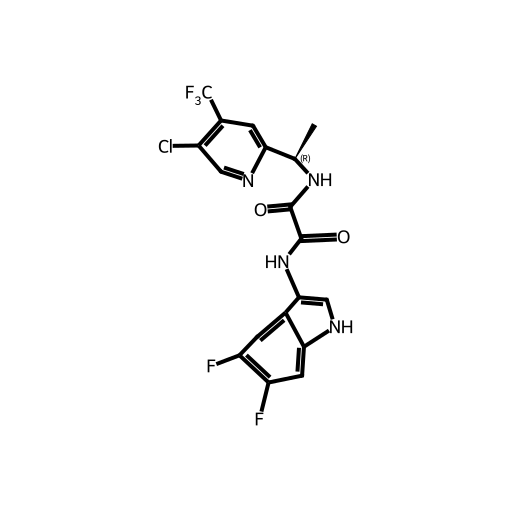 C[C@@H](NC(=O)C(=O)Nc1c[nH]c2cc(F)c(F)cc12)c1cc(C(F)(F)F)c(Cl)cn1